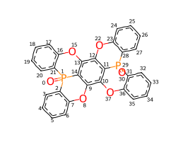 O=P12c3ccccc3Oc3c4c5c(c(c31)Oc1ccccc12)Oc1ccccc1P5(=O)c1ccccc1O4